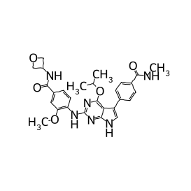 CNC(=O)c1ccc(-c2c[nH]c3nc(Nc4ccc(C(=O)NC5COC5)cc4OC)nc(OC(C)C)c23)cc1